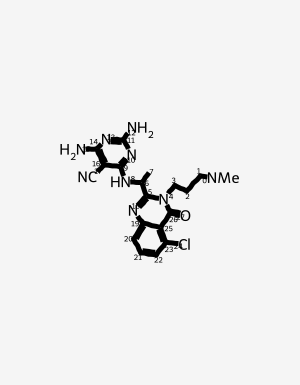 CNCCCn1c(C(C)Nc2nc(N)nc(N)c2C#N)nc2cccc(Cl)c2c1=O